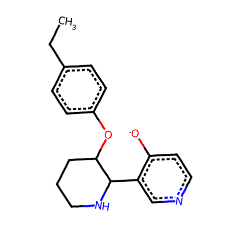 CCc1ccc(OC2CCCNC2c2cnccc2[O])cc1